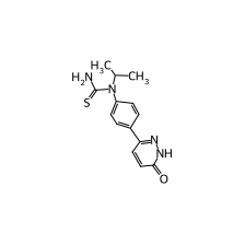 CC(C)N(C(N)=S)c1ccc(-c2ccc(=O)[nH]n2)cc1